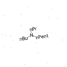 CCCCCN(CCC)CCCC